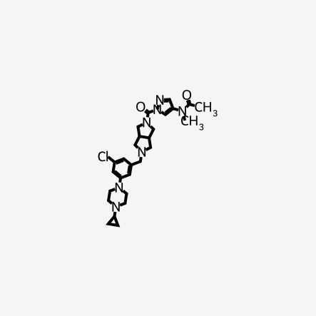 CC(=O)N(C)c1cnn(C(=O)N2CC3CN(Cc4cc(Cl)cc(N5CCN(C6CC6)CC5)c4)CC3C2)c1